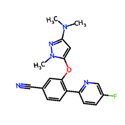 CN(C)c1cc(Oc2cc(C#N)ccc2-c2ccc(F)cn2)n(C)n1